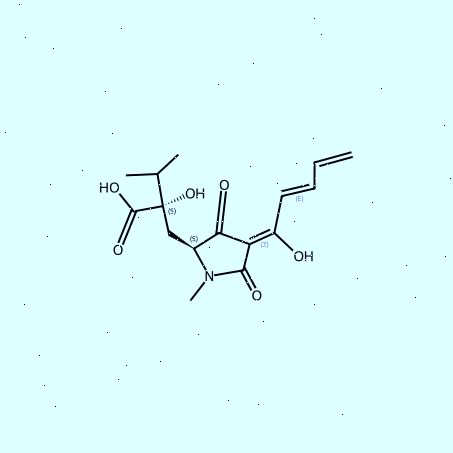 C=C/C=C/C(O)=C1\C(=O)[C@H](C[C@@](O)(C(=O)O)C(C)C)N(C)C1=O